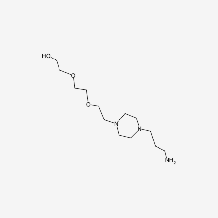 NCCCN1CCN(CCOCCOCCO)CC1